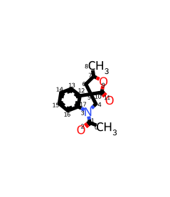 CC(=O)N1CC2(CC(C)OC2=O)c2ccccc21